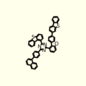 c1ccc2c(-c3ccc(-c4nc(-c5cccc6oc7cc(-c8ccc9c(c8)sc8ccccc89)ccc7c56)nc(-c5cccc6sc7ccccc7c56)n4)cc3)cccc2c1